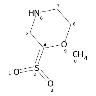 C.O=S(=O)=C1CNCCO1